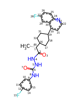 C[C@@H](C(=O)NNC(=O)Nc1ccc(F)cc1)C1CCC(c2ccnc3ccc(F)cc23)CC1